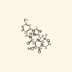 Cc1ncn(-c2cc(F)ccc2CNC(=O)c2nc3n(c(=O)c2O)CCOC3(C)C)n1